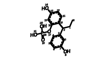 CCC(c1cccc(O)c1)c1ccc(O)cc1OP(=O)(O)O